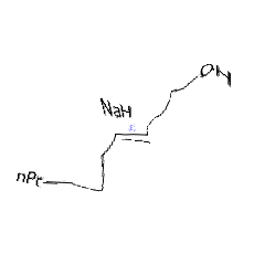 CCCC/C=C/CO.[NaH]